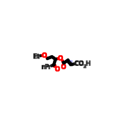 CCCC(=O)C(CCOCC)OC(=O)/C=C/C(=O)O